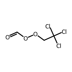 O=COOCC(Cl)(Cl)Cl